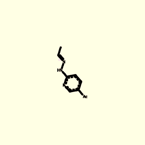 C/C=N/Nc1ccc(C(C)=O)cn1